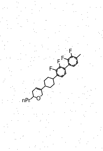 CCCC1CC=C(C2CCC(c3ccc(-c4ccc(C)c(F)c4F)c(F)c3F)CC2)CO1